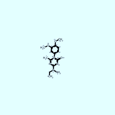 CCN(N)c1nc(C)n(-c2ccc(OC)c(OC)c2)c(=O)n1